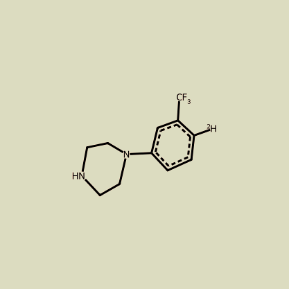 [2H]c1ccc(N2CCNCC2)cc1C(F)(F)F